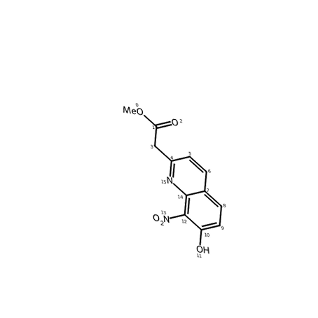 COC(=O)Cc1ccc2ccc(O)c([N+](=O)[O-])c2n1